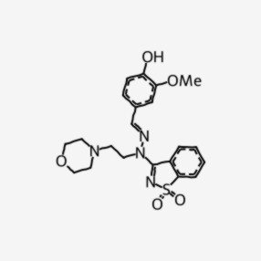 COc1cc(/C=N/N(CCN2CCOCC2)C2=NS(=O)(=O)c3ccccc32)ccc1O